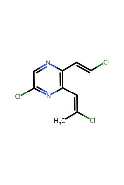 C/C(Cl)=C\c1nc(Cl)cnc1/C=C/Cl